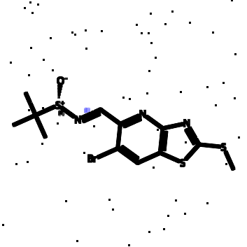 CSc1nc2nc(/C=N/[S@@+]([O-])C(C)(C)C)c(Br)cc2s1